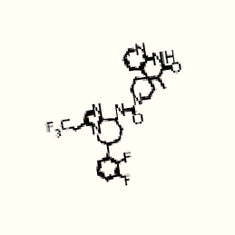 CC1C(=O)Nc2ncccc2C12CCN(C(=O)/N=C1\CC[C@@H](c3cccc(F)c3F)Cn3c(CC(F)(F)F)cnc31)CC2